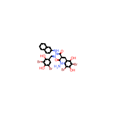 NNC(=O)C(=Cc1cc(Br)c(O)c(Br)c1O)C(=O)N(N=Cc1cc(Br)c(O)c(Br)c1O)Nc1ccc2ccccc2c1